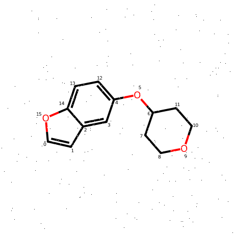 [c]1cc2cc(OC3CCOCC3)ccc2o1